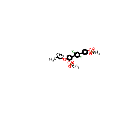 CC(C)=CCOc1ccc(-c2cc(F)c(-c3ccc(OS(C)(=O)=O)cc3)cc2F)cc1OS(C)(=O)=O